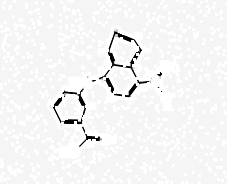 O=C(O)c1cccc([AsH]c2ccc([N+](=O)[O-])c3ccccc23)c1